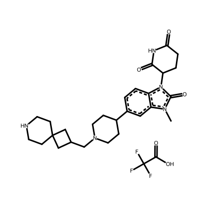 Cn1c(=O)n(C2CCC(=O)NC2=O)c2ccc(C3CCN(CC4CC5(CCNCC5)C4)CC3)cc21.O=C(O)C(F)(F)F